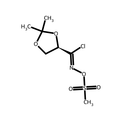 CC1(C)OC[C@H](C(Cl)=NOS(C)(=O)=O)O1